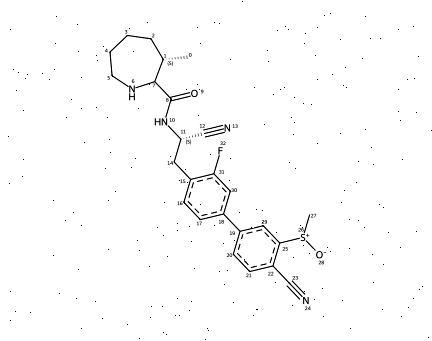 C[C@H]1CCCCNC1C(=O)N[C@H](C#N)Cc1ccc(-c2ccc(C#N)c([S+](C)[O-])c2)cc1F